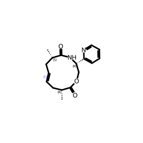 C[C@@H]1C/C=C/C[C@H](C)C(=O)N[C@H](c2ccccn2)COC1=O